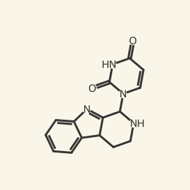 O=c1ccn(C2NCCC3C2=Nc2ccccc23)c(=O)[nH]1